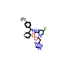 CC(C)c1ccc(C(NC(=O)C2CC(F)CN2C(=O)Cc2nncn2C)c2ccccc2)cc1